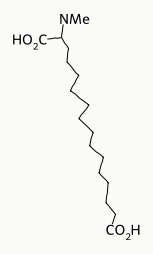 CNC(CCCCCCCCCCCCCC(=O)O)C(=O)O